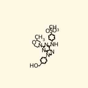 CC1CN(c2nc(Nc3ccc(S(C)(=O)=O)cc3)c3ncn(-c4ccc(CO)cc4)c3n2)CCO1